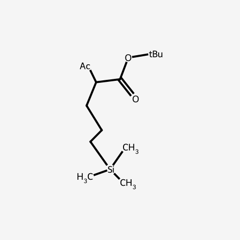 CC(=O)C(CCC[Si](C)(C)C)C(=O)OC(C)(C)C